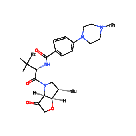 CCCN1CCN(c2ccc(C(=O)N[C@H](C(=O)N3C[C@H](C(C)(C)C)[C@H]4OCC(=O)[C@H]43)C(C)(C)CC)cc2)CC1